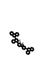 c1ccc2c(c1)cc(-c1ccc3c(c1)sc1c3ccc3c1sc1cc(-c4cc5ccccc5c5ccccc45)c4ccccc4c13)c1ccccc12